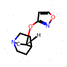 c1cc(O[C@H]2CN3CCC2CC3)no1